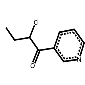 CCC(Cl)C(=O)c1cccnc1